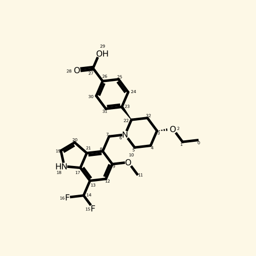 CCO[C@@H]1CCN(Cc2c(OC)cc(C(F)F)c3[nH]ccc23)[C@@H](c2ccc(C(=O)O)cc2)C1